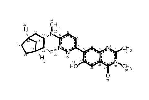 Cc1nc2cc(-c3ccc(N(C)[C@H]4C[C@@H]5CC[C@@H](C5)[C@H]4F)nn3)c(O)cc2c(=O)n1C